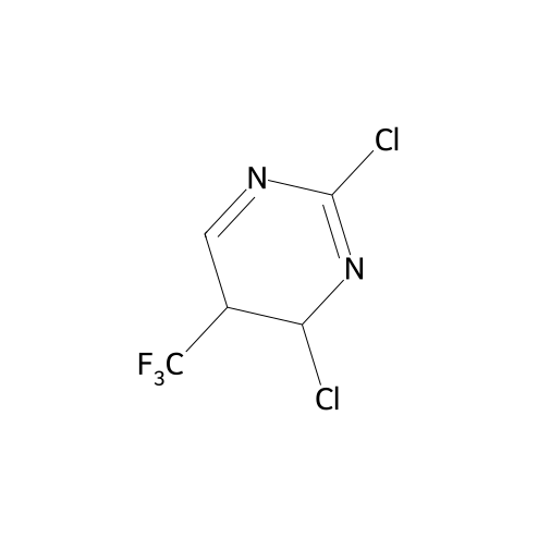 FC(F)(F)C1C=NC(Cl)=NC1Cl